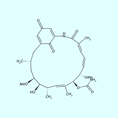 CO[C@H]1/C=C\C=C(/C)C(=O)NC2=CC(=O)C=C(C[C@@H](C)C[C@H](OC)[C@H](O)[C@@H](C)/C=C(\C)[C@@H]1OC(N)=O)C2=O